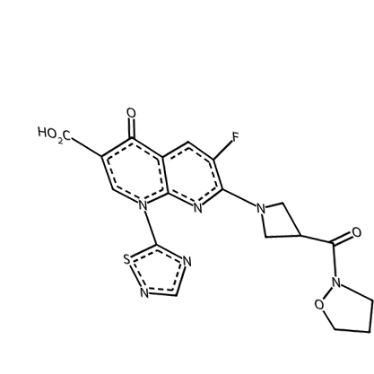 O=C(O)c1cn(-c2ncns2)c2nc(N3CC(C(=O)N4CCCO4)C3)c(F)cc2c1=O